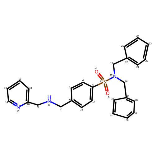 O=S(=O)(c1ccc(CNCc2ccccn2)cc1)N(Cc1ccccc1)Cc1ccccc1